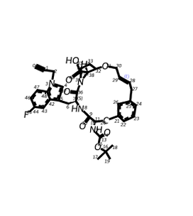 C#CCn1cc(C[C@@H]2NC(=O)[C@@H](NC(=O)OC(C)(C)C)Cc3cccc(c3)C/C=C/COC3CCN(C2=O)[C@@H]3C(=O)O)c2cc(F)ccc21